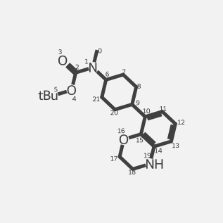 CN(C(=O)OC(C)(C)C)C1CCC(c2cccc3c2OCCN3)CC1